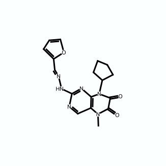 Cn1c(=O)c(=O)n(C2CCCC2)c2nc(N/N=C/c3ccco3)ncc21